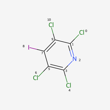 Clc1nc(Cl)c(Cl)c(I)c1Cl